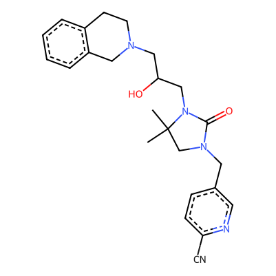 CC1(C)CN(Cc2ccc(C#N)nc2)C(=O)N1CC(O)CN1CCc2ccccc2C1